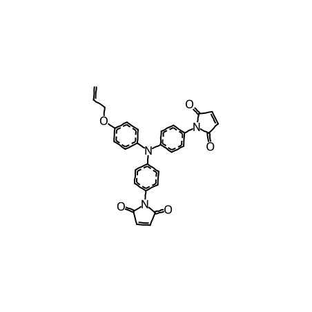 C=CCOc1ccc(N(c2ccc(N3C(=O)C=CC3=O)cc2)c2ccc(N3C(=O)C=CC3=O)cc2)cc1